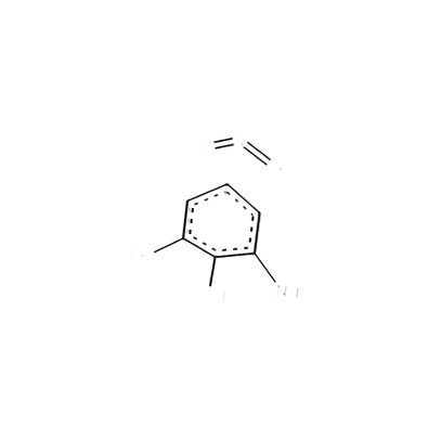 Cc1cccc(N)c1C.O=S=O